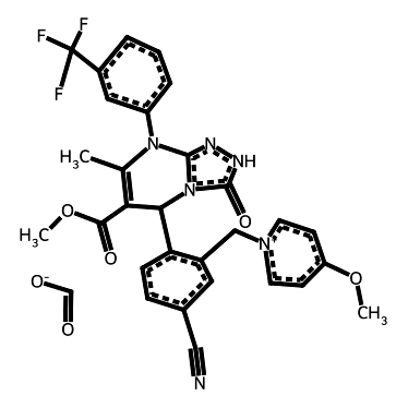 COC(=O)C1=C(C)N(c2cccc(C(F)(F)F)c2)c2n[nH]c(=O)n2C1c1ccc(C#N)cc1C[n+]1ccc(OC)cc1.O=C[O-]